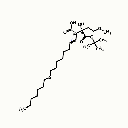 CCCCCCCSCCCCCC/C=C/[C@H](C(=O)O)[C@@](O)(CCOC)C(=O)OC(C)(C)C